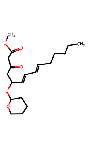 CCCCCC=CC=CC(CC(=O)CC(=O)OC)OC1CCCCO1